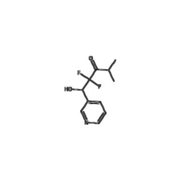 CC(C)C(=O)C(F)(F)C(O)c1cccnc1